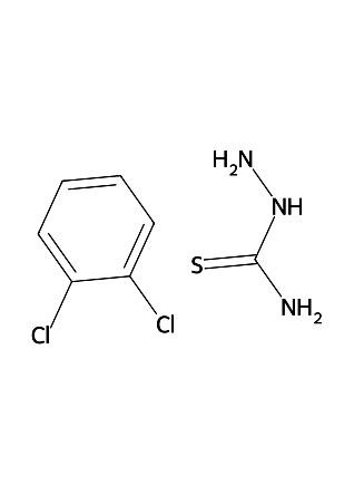 Clc1ccccc1Cl.NNC(N)=S